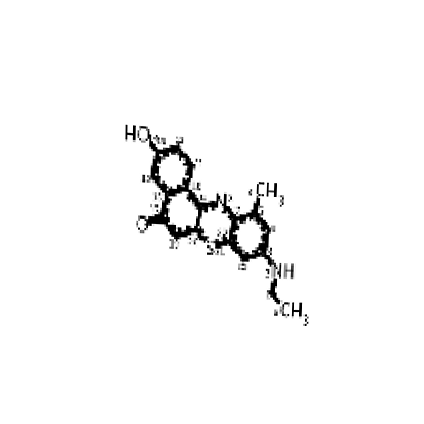 CCNc1cc(C)c2nc3c4ccc(O)cc4c(=O)cc-3sc2c1